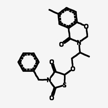 Cc1ccc2c(c1)C(=O)N(C(C)COC1SC(=O)N(Cc3ccccc3)C1=O)CO2